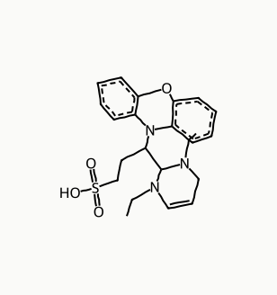 CCN1C=CCN(CC)C1C(CCS(=O)(=O)O)N1c2ccccc2Oc2ccccc21